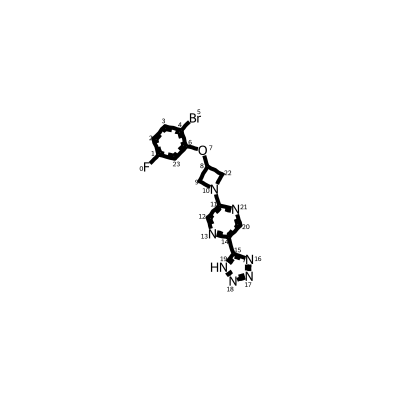 Fc1ccc(Br)c(OC2CN(c3cnc(-c4nnn[nH]4)cn3)C2)c1